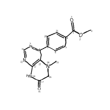 COC(=O)c1ccc(-c2ncnc3c2N(C)CC(=O)N3)cc1